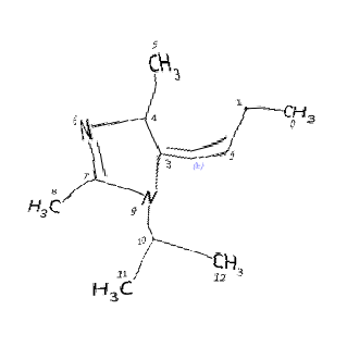 CC/C=C1\C(C)N=C(C)N1C(C)C